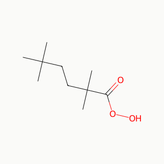 CC(C)(C)CCC(C)(C)C(=O)OO